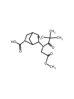 COC(=O)CN(C(=O)C(C)(C)C)C1CC2CC1N(C(=O)O)C2